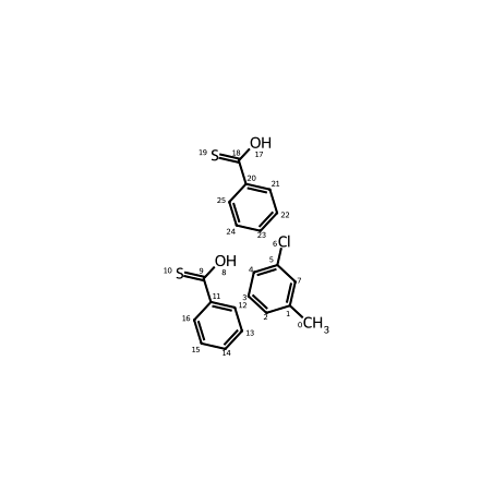 Cc1cccc(Cl)c1.OC(=S)c1ccccc1.OC(=S)c1ccccc1